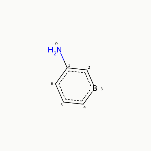 Nc1cbccc1